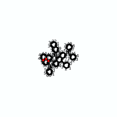 C1=CCCC(c2c3cc(N(c4ccccc4)c4ccccc4)ccc3c(N(c3ccc4ccccc4c3)c3ccc4ccccc4c3)c3cc(N(c4ccccc4)c4ccccc4)ccc23)=C1